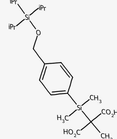 CC(C)[Si](OCc1ccc([Si](C)(C)C(C)(C(=O)O)C(=O)O)cc1)(C(C)C)C(C)C